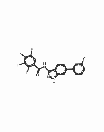 O=C(Nc1n[nH]c2cc(-c3cccc(Cl)c3)ccc12)c1cc(F)c(F)c(F)c1F